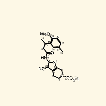 CCOC(=O)N1CCC2=C(C1)SC(NC(=O)CC(C)c1cc(C)ccc1OC)C2C#N